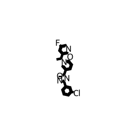 CC(c1cncc(F)c1)n1cc(-c2nc(-c3cccc(Cl)c3)no2)ccc1=O